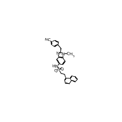 Cn1c(Cc2ccc(C#N)cc2)nc2cc(NS(=O)(=O)CCc3cccc4ccccc34)ccc21